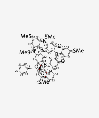 CSc1cc2c3c(c1)Oc1cc4c(cc1B3c1ccc(-c3ccccc3)cc1O2)B1c2cc3c(cc2N(SC)c2cc(SC)cc(c21)N4SC)Oc1cc(SC)cc2c1B3c1ccc(-c3ccccc3)cc1O2